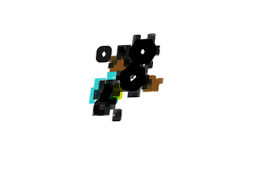 O=[N+]([O-])c1ccccc1C1(Br)[CH]C(Br)=CC(SC(F)(F)C(F)(F)C(F)(F)F)=C1